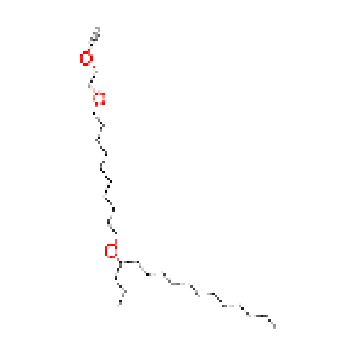 C#COCCOCCCCCCCCCCOC(CCC)CCCCCCCCCCCC